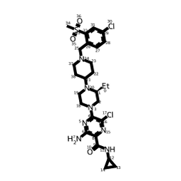 CC[C@H]1CN(c2nc(N)c(C(=O)NC3CC3)nc2Cl)CCN1C1CCN(Cc2ccc(Cl)cc2S(C)(=O)=O)CC1